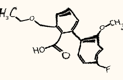 CCOCc1cccc(-c2ccc(F)cc2OC)c1C(=O)O